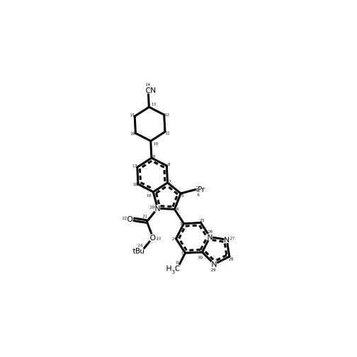 Cc1cc(-c2c(C(C)C)c3cc(C4CCC(C#N)CC4)ccc3n2C(=O)OC(C)(C)C)cn2ncnc12